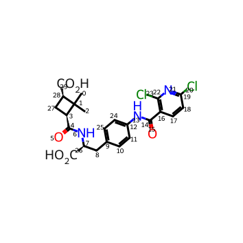 CC1(C)[C@@H](C(=O)N[C@@H](Cc2ccc(NC(=O)c3ccc(Cl)nc3Cl)cc2)C(=O)O)C[C@H]1C(=O)O